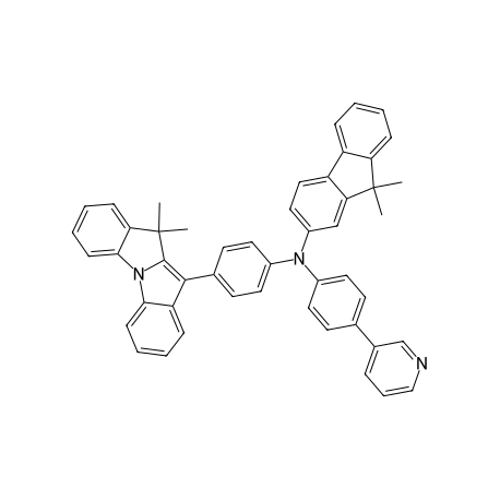 CC1(C)c2ccccc2-c2ccc(N(c3ccc(-c4cccnc4)cc3)c3ccc(-c4c5n(c6ccccc46)-c4ccccc4C5(C)C)cc3)cc21